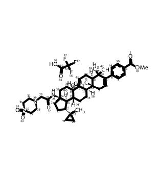 COC(=O)c1ccc(C2=CC[C@]3(C)[C@H]4CC[C@@H]5[C@H]6[C@H](C7(C)CC7)CC[C@]6(NC(=O)CN6CCS(=O)(=O)CC6)CC[C@@]5(C)[C@]4(C)CC[C@H]3C2(C)C)cc1.O=C(O)C(F)(F)F